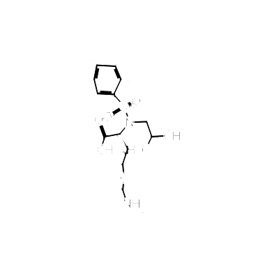 CC(=O)[C@H](CCCCN)N(CC(C)C)S(=O)(=O)c1ccccc1